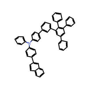 c1ccc(-c2cc(-c3ccccc3)c(-c3ccccc3)c(-c3cccc(-c4ccc(N(c5ccccc5)c5ccc(-c6ccc7ccccc7c6)cc5)cc4)c3)c2)cc1